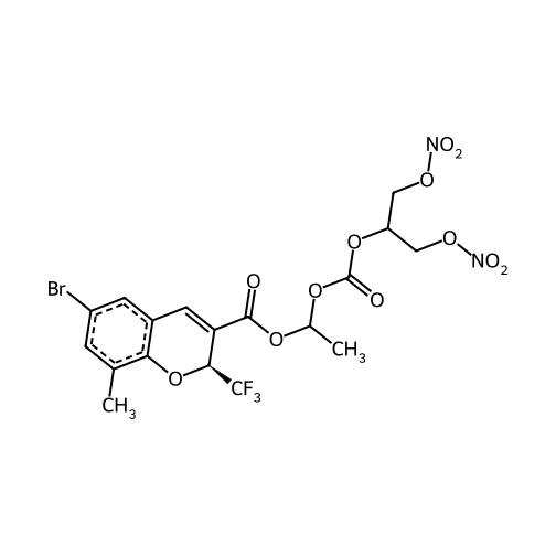 Cc1cc(Br)cc2c1O[C@H](C(F)(F)F)C(C(=O)OC(C)OC(=O)OC(CO[N+](=O)[O-])CO[N+](=O)[O-])=C2